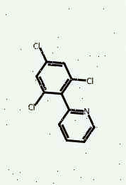 Clc1cc(Cl)c(-c2ccc[c]n2)c(Cl)c1